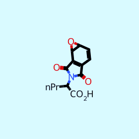 CCCC(C(=O)O)N1C(=O)C2=C(C1=O)C1OC1C=C2